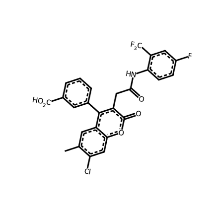 Cc1cc2c(-c3cccc(C(=O)O)c3)c(CC(=O)Nc3ccc(F)cc3C(F)(F)F)c(=O)oc2cc1Cl